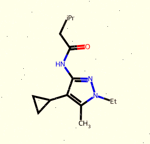 CCn1nc(NC(=O)CC(C)C)c(C2CC2)c1C